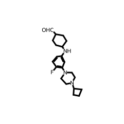 O=CC1CCC(Nc2ccc(F)c(N3CCN(C4CCC4)CC3)c2)CC1